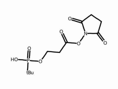 CC(C)(C)P(=O)(O)OCCC(=O)ON1C(=O)CCC1=O